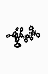 c1ccc(-c2cc(-c3cc(-c4ccccc4)cc4c3Cc3c(-c5ccccc5)cc(-c5ccccc5)cc3-4)cc(-n3c4ccccc4c4c5c6ccccc6n(-c6nc(-c7ccccc7)nc(-c7ccccc7)n6)c5ccc43)c2)cc1